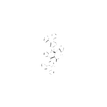 FC(F)(F)c1cc2nc(-c3ccccc3)c(-c3ccccc3)nc2c2c1c(-c1ccccc1-c1ccc3c4ccccc4c4ccccc4c3c1)nc1ccccc12